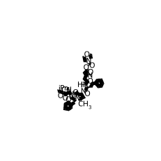 CC(C)C[C@H](NC(=O)[C@H](Cc1ccccc1)N1C(=O)[C@@H](NC(=O)[C@H](CCc2ccccc2)NC(=O)Cc2cc(OC(=O)N3CCOCC3)on2)CC1C)C(=O)C1(C)CO1